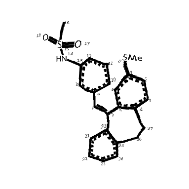 CSc1ccc2c(c1)/C(=C\c1cccc(NS(C)(=O)=O)c1)c1ccccc1CC2